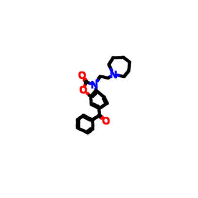 O=C(c1ccccc1)c1ccc2c(c1)oc(=O)n2CCN1CCCCCC1